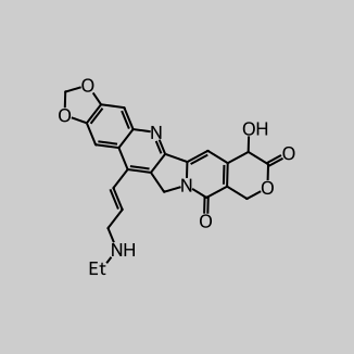 CCNC/C=C/c1c2c(nc3cc4c(cc13)OCO4)-c1cc3c(c(=O)n1C2)COC(=O)C3O